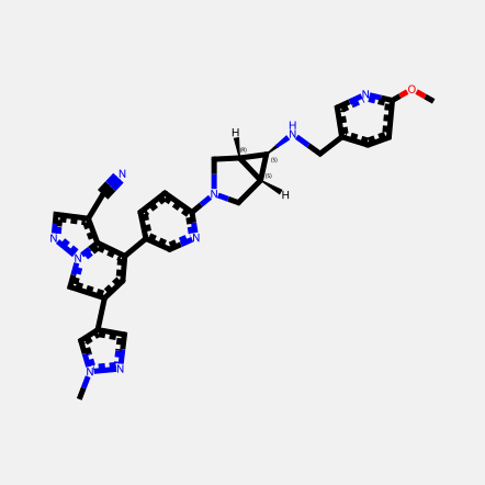 COc1ccc(CN[C@H]2[C@@H]3CN(c4ccc(-c5cc(-c6cnn(C)c6)cn6ncc(C#N)c56)cn4)C[C@@H]32)cn1